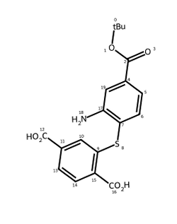 CC(C)(C)OC(=O)c1ccc(Sc2cc(C(=O)O)ccc2C(=O)O)c(N)c1